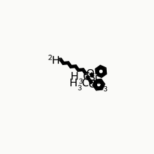 [2H]CCCCCCCCO[Si](c1ccccc1)(c1ccccc1)C(C)(C)C